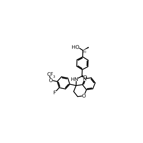 C[C@H](O)c1ccc(C(=O)NC2(c3ccc(OC(F)(F)F)c(F)c3)CCOc3cccnc32)cc1